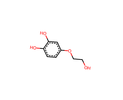 OCCOc1ccc(O)c(O)c1